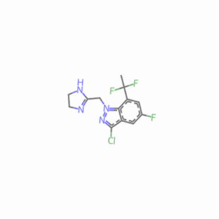 CC(F)(F)c1cc(F)cc2c(Cl)nn(CC3=NCCN3)c12